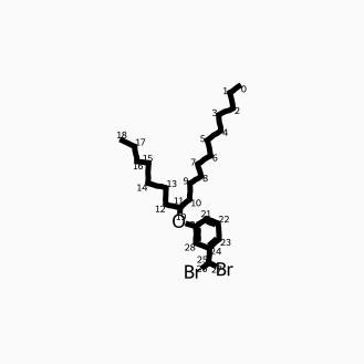 CCCCCCCCCCCC(CCCCCCC)Oc1cccc(C(Br)Br)c1